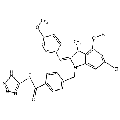 CCOc1cc(Cl)cc2c1n(C)c(=Nc1ccc(OC(F)(F)F)cc1)n2Cc1ccc(C(=O)Nc2nnn[nH]2)cc1